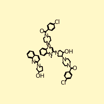 CN1C(N2CC(O)C(N3CCN(C(=O)c4ccc(Cl)cc4)CC3)C2)=CN(N2CCN(C(=O)c3ccc(Cl)cc3)CC2)c2ccccc21.OC1CCN(c2ccc3ccccc3n2)C1